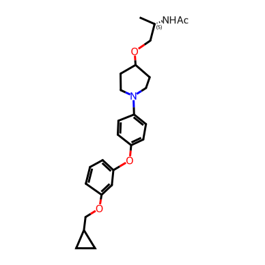 CC(=O)N[C@@H](C)COC1CCN(c2ccc(Oc3cccc(OCC4CC4)c3)cc2)CC1